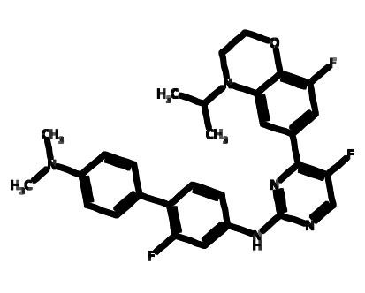 CC(C)N1CCOc2c(F)cc(-c3nc(Nc4ccc(-c5ccc(N(C)C)cc5)c(F)c4)ncc3F)cc21